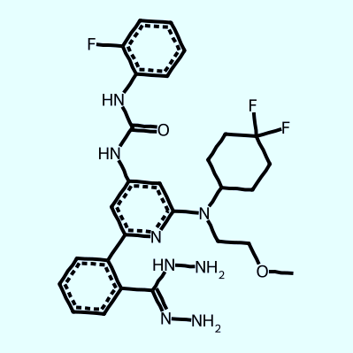 COCCN(c1cc(NC(=O)Nc2ccccc2F)cc(-c2ccccc2/C(=N/N)NN)n1)C1CCC(F)(F)CC1